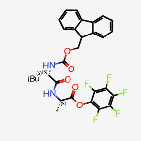 CC[C@H](C)[C@H](NC(=O)OCC1c2ccccc2-c2ccccc21)C(=O)N[C@@H](C)C(=O)Oc1c(F)c(F)c(F)c(F)c1F